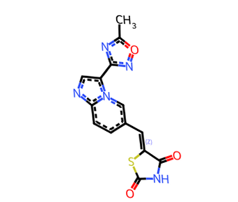 Cc1nc(-c2cnc3ccc(/C=C4\SC(=O)NC4=O)cn23)no1